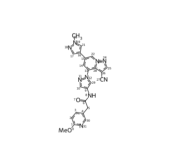 COc1ccc(CC(=O)Nc2cnn(-c3cc(-c4cnn(C)c4)cn4ncc(C#N)c34)c2)cn1